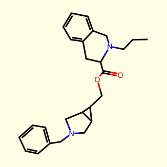 CCCN1Cc2ccccc2CC1C(=O)OCC1C2CN(Cc3ccccc3)CC12